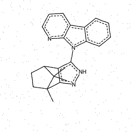 CC12CCC(c3c1n[nH]c3-n1c3ccccc3c3cccnc31)C2(C)C